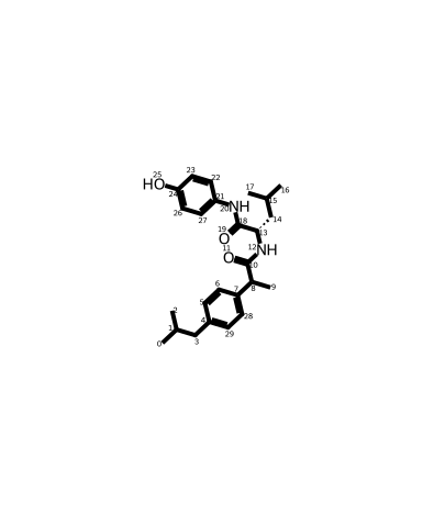 CC(C)Cc1ccc(C(C)C(=O)N[C@@H](CC(C)C)C(=O)Nc2ccc(O)cc2)cc1